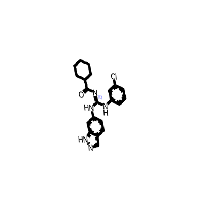 O=C(/N=C(/Nc1cccc(Cl)c1)Nc1ccc2cn[nH]c2c1)C1CCCCC1